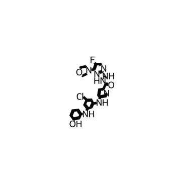 O=C(NNc1ncc(F)c(N2CCOCC2)n1)c1ccc(Nc2cc(Cl)cc(Nc3cccc(O)c3)c2)cn1